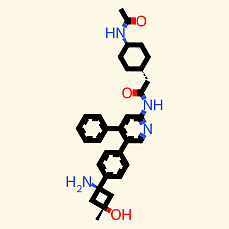 CC(=O)N[C@H]1CC[C@H](CC(=O)Nc2cc(-c3ccccc3)c(-c3ccc([C@]4(N)C[C@](C)(O)C4)cc3)cn2)CC1